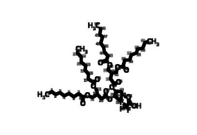 CCCCCCCCC(=O)OCC(COC(=O)CCCCCCCC)CC(=O)O[C@H]1CNC[C@@H]1OC(=O)CC(COC(=O)CCCCCCCC)COC(=O)CCCCCCCC.O=C(O)C(F)(F)F